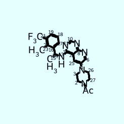 CC(=O)N1CCN(c2cnc3ncnc(N[C@H](C)c4cccc(C(F)(F)F)c4C)c3c2)CC1